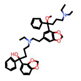 CCN(CC)CCCC(OC)(c1ccccc1)c1cc(CCN(CC)CCCC(O)(c2ccccc2)c2cccc3c2OCO3)cc2c1OCO2